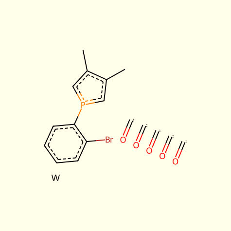 Cc1cp(-c2ccccc2Br)cc1C.[C]=O.[C]=O.[C]=O.[C]=O.[C]=O.[W]